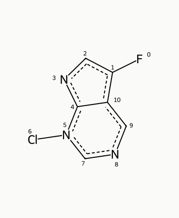 Fc1cnc2n(Cl)cncc1-2